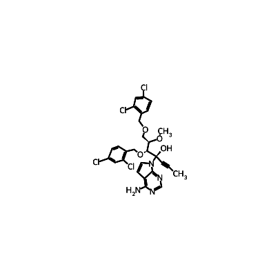 CC#C[C@@](O)([C@H](OCc1ccc(Cl)cc1Cl)[C@@H](COCc1ccc(Cl)cc1Cl)OC)n1ccc2c(N)ncnc21